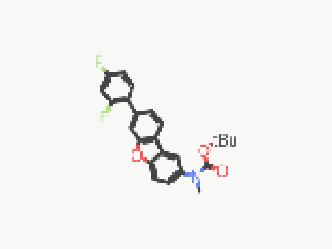 CN(C(=O)OC(C)(C)C)c1ccc2oc3cc(-c4ccc(F)cc4F)ccc3c2c1